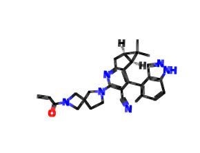 C=CC(=O)N1CC2(CCN(c3nc4c(c(-c5c(C)ccc6[nH]ncc56)c3C#N)[C@H]3[C@@H](C4)C3(C)C)C2)C1